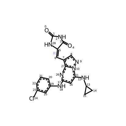 O=C1NC(=O)/C(=C\c2cnn3c(NC4CC4)cc(Nc4cccc(Cl)c4)nc23)N1